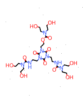 O=C(NCCn1c(=O)n(CCNC(=O)N(CCO)CCO)c(=O)n(CCOC(=O)N(CCO)CCO)c1=O)N(CCO)CCO